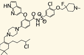 CC(Cl)CCCC1=C(CN2CCN(c3ccc(C(=O)NS(=O)(=O)c4ccc(OCC5(F)CCN(C)CC5)c(Cl)c4)c(Oc4cnc5[nH]ccc5c4)c3)CC2)CCC(C)(C)C1